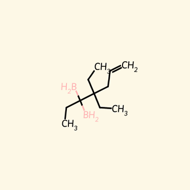 BC(B)(CC)C(CC)(CC)CC=C